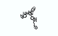 Cn1ccc2ccc(Nc3cc(-c4ccc5c(CCCN6CCCC6)nn(C)c5c4)nc(N4CCOCC4)n3)cc21